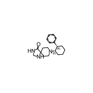 O=C1NCNC12CCN([C@@H]1CCCC[C@@H]1c1ccccc1)CC2